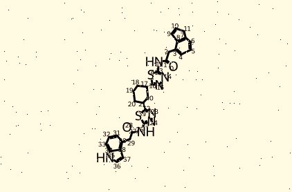 O=C(Cc1cccc2c1C=CC2)Nc1nnc([C@H]2CCC[C@H](c3nnc(NC(=O)Cc4cccc5[nH]ccc45)s3)C2)s1